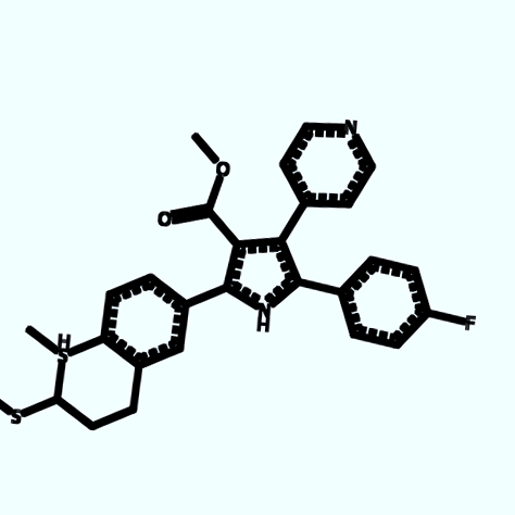 COC(=O)c1c(-c2ccc3c(c2)CCC(SC)[SH]3C)[nH]c(-c2ccc(F)cc2)c1-c1ccncc1